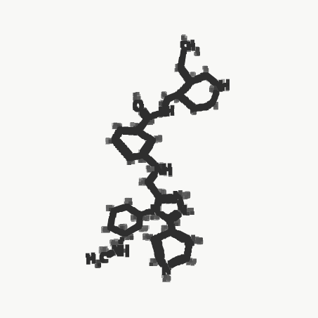 CCC1CNCCC1CNC(=O)c1cccc(NCc2nnc(-c3ccncn3)n2[C@@H]2CCC[C@@H](NC)C2)c1